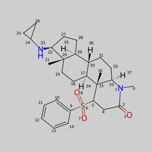 CN1C(=O)CC(S(=O)(=O)c2ccccc2)[C@]2(C)[C@H]3CC[C@]4(C)[C@@H](NC5CC5)CC[C@H]4[C@@H]3CC[C@@H]12